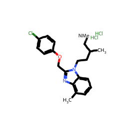 CNCC(C)CCn1c(COc2ccc(Cl)cc2)nc2c(C)cccc21.Cl.Cl